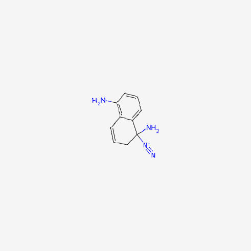 N#[N+]C1(N)CC=Cc2c(N)cccc21